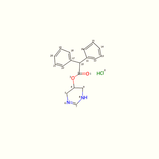 Cl.O=C(OC1CN=CNC1)C(c1ccccc1)c1ccccc1